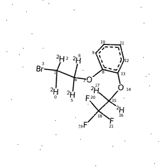 [2H]C([2H])(Br)C([2H])([2H])Oc1ccccc1OC([2H])([2H])C(F)(F)F